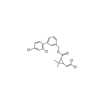 CC1(C)C(C=C(Cl)Cl)C1C(=O)OCc1cccc(-c2ccc(Cl)cc2Cl)c1